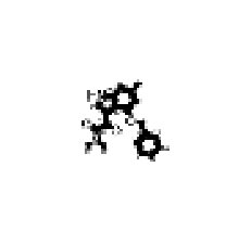 Cc1cc(OCc2ccccc2)c2c(C(=O)C(=O)N(C)C)c[nH]c2c1